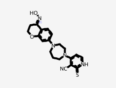 N#Cc1c(N2CCCN(c3ccc4c(c3)OCC/C4=N\O)CC2)cc[nH]c1=S